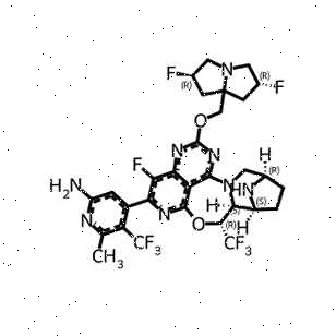 Cc1nc(N)cc(-c2nc3c4c(nc(OCC56C[C@@H](F)CN5C[C@H](F)C6)nc4c2F)N2C[C@H]4CC[C@H](N4)[C@H]2[C@H](C(F)(F)F)O3)c1C(F)(F)F